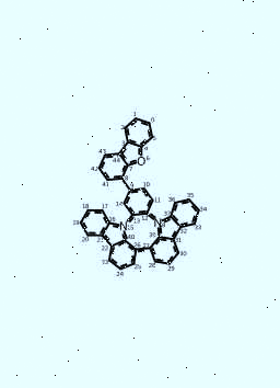 c1ccc2c(c1)oc1c(-c3ccc4c(c3)n3c5ccccc5c5cccc(c6cccc7c8ccccc8n4c76)c53)cccc12